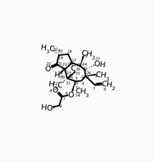 C=C[C@]1(C)C[C@@H](OC(=O)CO)[C@]2(C)[C@H](C)CC[C@]3(C[C@@H](C)C(=O)[C@H]32)[C@@H](C)[C@@H]1O